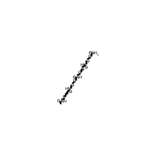 CC(=O)NCCOCCOCC(=O)NCCOCCOCC(=O)NCCOCCOCC(=O)NCCOCCOCC(N)=O